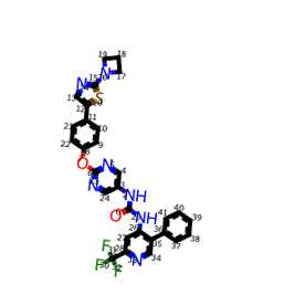 O=C(Nc1cnc(Oc2ccc(-c3cnc(N4CCC4)s3)cc2)nc1)Nc1cc(C(F)(F)F)ncc1-c1ccccc1